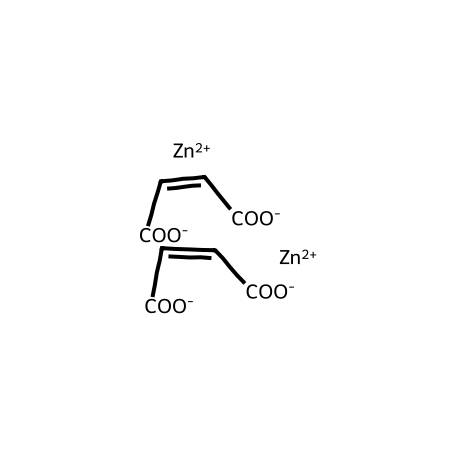 O=C([O-])/C=C\C(=O)[O-].O=C([O-])/C=C\C(=O)[O-].[Zn+2].[Zn+2]